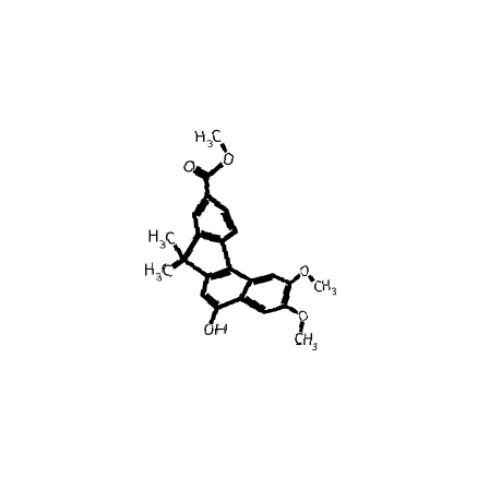 COC(=O)c1ccc2c(c1)C(C)(C)c1cc(O)c3cc(OC)c(OC)cc3c1-2